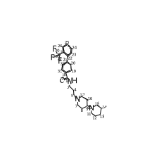 O=C(NCCCN1CCC(N2CCCCC2)CC1)c1ccc(-c2ccccc2C(F)(F)F)cc1